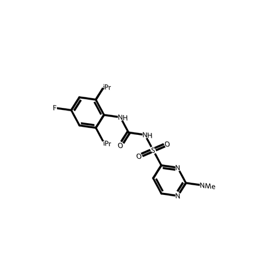 CNc1nccc(S(=O)(=O)NC(=O)Nc2c(C(C)C)cc(F)cc2C(C)C)n1